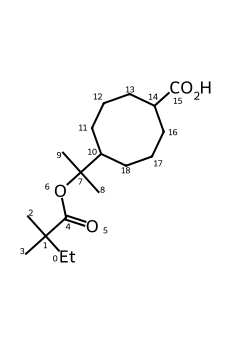 CCC(C)(C)C(=O)OC(C)(C)C1CCCC(C(=O)O)CCC1